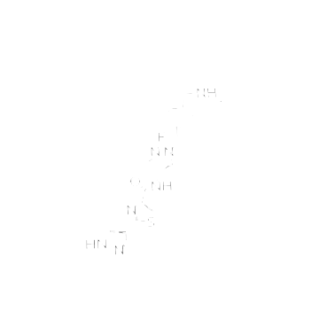 NCC1CCC(F)(Cn2cc(NC(=O)c3csc(-c4cn[nH]c4)n3)cn2)CC1